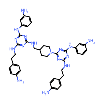 Nc1ccc(CCNc2nc(NCC3CCN(c4nc(NCCc5ccc(N)cc5)nc(Nc5cccc(N)c5)n4)CC3)nc(Nc3cccc(N)c3)n2)cc1